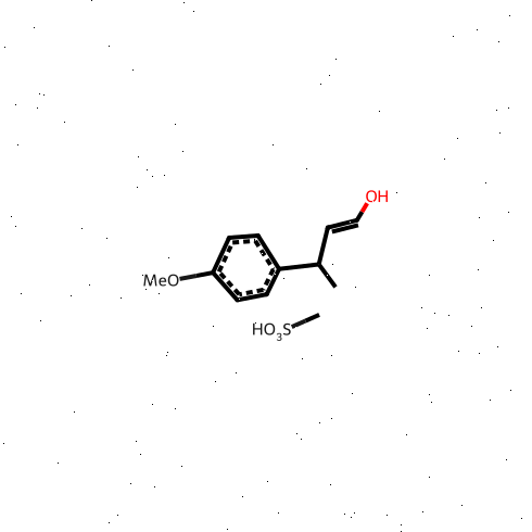 COc1ccc(C(C)C=CO)cc1.CS(=O)(=O)O